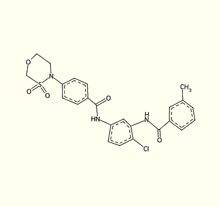 Cc1cccc(C(=O)Nc2cc(NC(=O)c3ccc(N4CCOCS4(=O)=O)cc3)ccc2Cl)c1